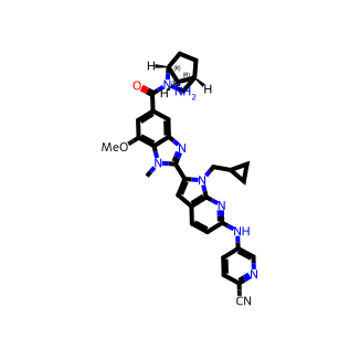 COc1cc(C(=O)N2C[C@H]3CC[C@@H]2[C@@H]3N)cc2nc(-c3cc4ccc(Nc5ccc(C#N)nc5)nc4n3CC3CC3)n(C)c12